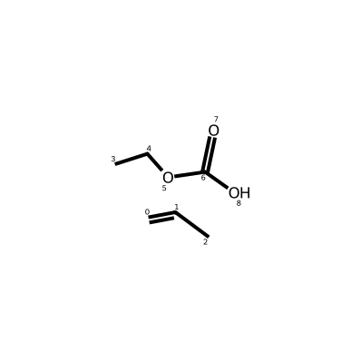 C=CC.CCOC(=O)O